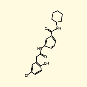 O=C(Cc1cc(Cl)ccc1O)Nc1cccc(C(=O)NC2CCCCC2)c1